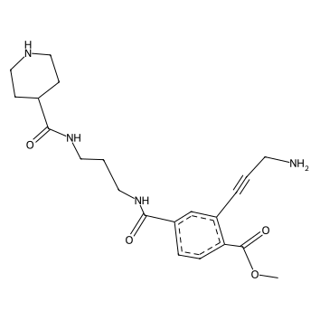 COC(=O)c1ccc(C(=O)NCCCNC(=O)C2CCNCC2)cc1C#CCN